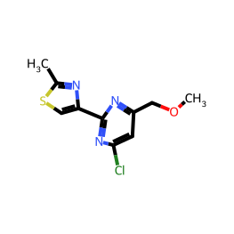 COCc1cc(Cl)nc(-c2csc(C)n2)n1